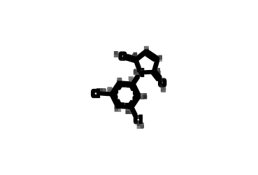 O=C1C=CC(=O)N1c1cc(Cl)cc(Cl)c1